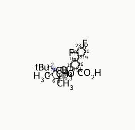 C/C(=C/C(C)(C)C)C(C)CC(C)(C)CC(=O)Oc1ccc(-c2ccc(F)cc2F)cc1C(=O)O